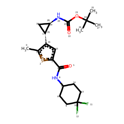 Cc1sc(C(=O)NC2CCC(F)(F)CC2)cc1[C@@H]1C[C@H]1NC(=O)OC(C)(C)C